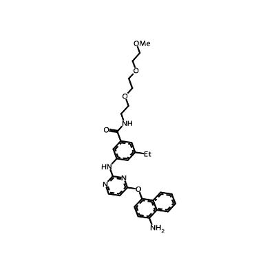 CCc1cc(Nc2nccc(Oc3ccc(N)c4ccccc34)n2)cc(C(=O)NCCOCCOCCOC)c1